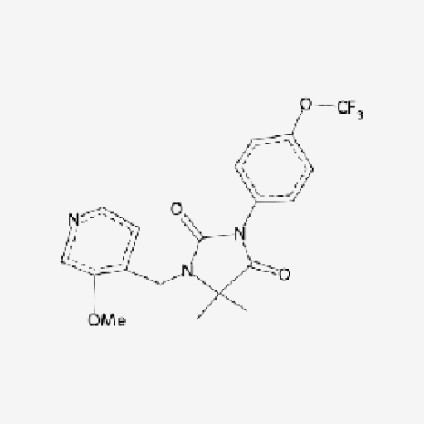 COc1cnccc1CN1C(=O)N(c2ccc(OC(F)(F)F)cc2)C(=O)C1(C)C